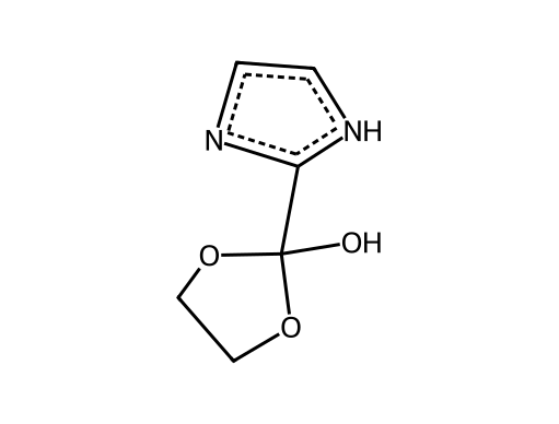 OC1(c2ncc[nH]2)OCCO1